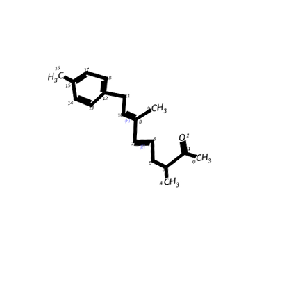 CC(=O)C(C)C/C=C/C(C)=C/Cc1ccc(C)cc1